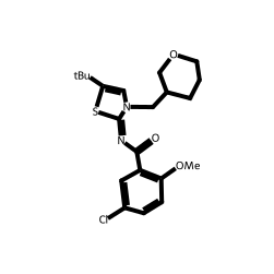 COc1ccc(Cl)cc1C(=O)N=c1sc(C(C)(C)C)cn1CC1CCCOC1